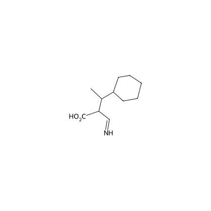 CC(C1CCCCC1)C(C=N)C(=O)O